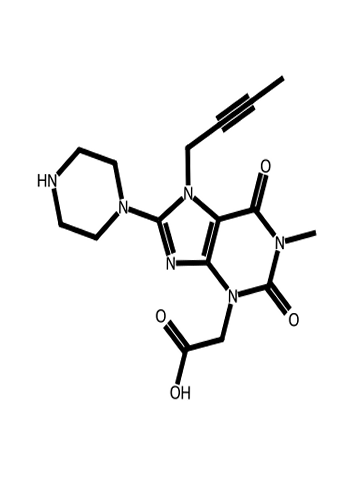 CC#CCn1c(N2CCNCC2)nc2c1c(=O)n(C)c(=O)n2CC(=O)O